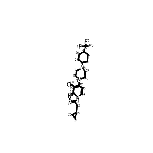 FC(F)(F)[C@H]1CC[C@@H](N2CCN(c3ccn4c(CC5CC5)nnc4c3Cl)CC2)CC1